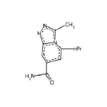 CCCc1cc(C(N)=O)cc2nnc(C)n12